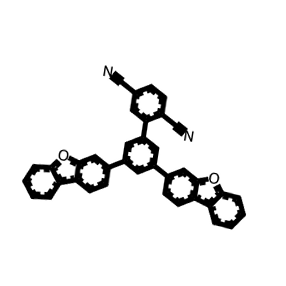 N#Cc1ccc(C#N)c(-c2cc(-c3ccc4c(c3)oc3ccccc34)cc(-c3ccc4c(c3)oc3ccccc34)c2)c1